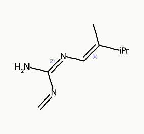 C=N/C(N)=N\C=C(/C)C(C)C